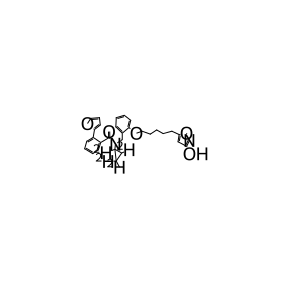 [2H]C1C([2H])([2H])C1([2H])N(Cc1ccccc1OCCCCCc1cc(O)no1)C(=O)c1ccccc1-c1ccco1